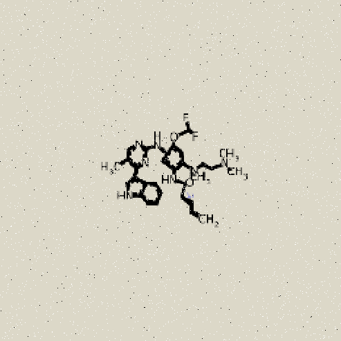 C=C/C=C/C(=O)Nc1cc(Nc2ncc(C)c(-c3c[nH]c4ccccc34)n2)c(OC(F)F)cc1N(C)CCN(C)C